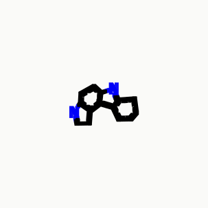 C1=Nc2ccc3c(c2=C1)=c1ccccc1=N3